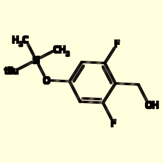 CC(C)(C)[Si](C)(C)Oc1cc(F)c(CO)c(F)c1